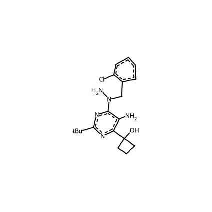 CC(C)(C)c1nc(N(N)Cc2ccccc2Cl)c(N)c(C2(O)CCC2)n1